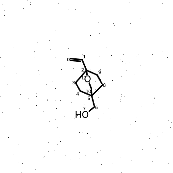 C=CC12CCC(CO)(CC1)CO2